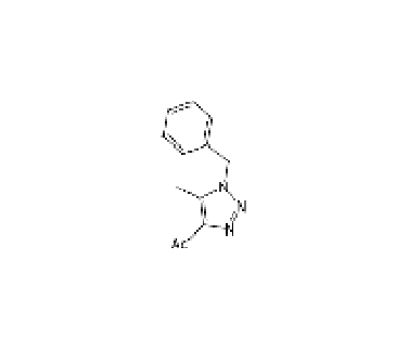 CC(=O)c1nnn(Cc2ccccc2)c1C